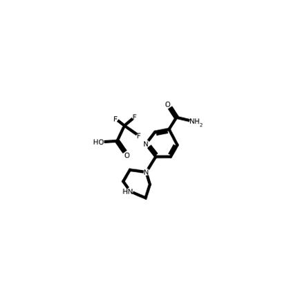 NC(=O)c1ccc(N2CCNCC2)nc1.O=C(O)C(F)(F)F